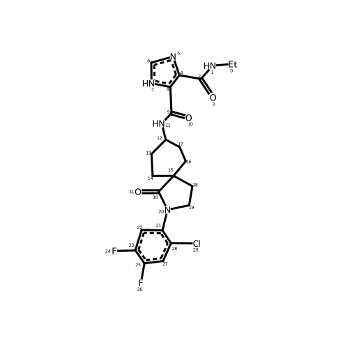 CCNC(=O)c1nc[nH]c1C(=O)NC1CCC2(CC1)CCN(c1cc(F)c(F)cc1Cl)C2=O